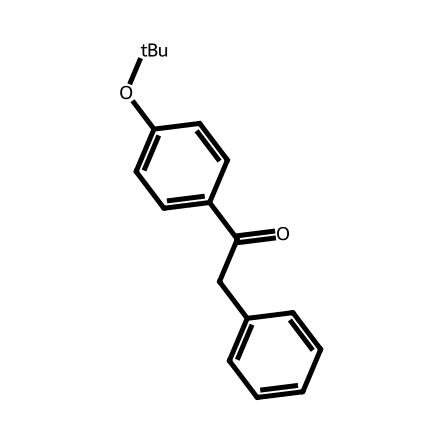 CC(C)(C)Oc1ccc(C(=O)Cc2ccccc2)cc1